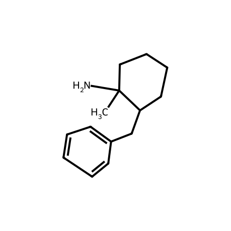 CC1(N)CCCCC1Cc1ccccc1